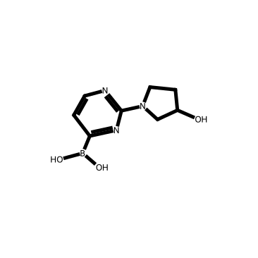 OB(O)c1ccnc(N2CCC(O)C2)n1